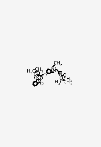 C=CC[n+]1c2ccc(OCC(ON3C(=O)c4ccccc4C3=O)C(=O)OC(C)(C)C)cc2cn1CC1CN(C(=O)OC(C)(C)C)C1